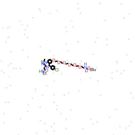 CCNC(=O)C[C@@H]1N=C(c2ccc(Cl)cc2)c2cc(OCCOCCOCCOCCOCCOCCNC(=O)OC(C)(C)C)ccc2-n2c(C)nnc21